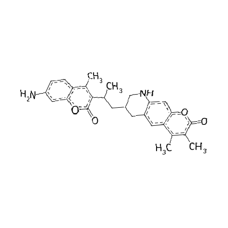 Cc1c(C)c2cc3c(cc2oc1=O)NCC(CC(C)c1c(C)c2ccc(N)cc2oc1=O)C3